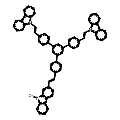 CCn1c2ccccc2c2ccc(/C=C/c3ccc(-c4cc(-c5ccc(/C=C/n6c7ccccc7c7ccccc76)cc5)cc(-c5ccc(/C=C/n6c7ccccc7c7ccccc76)cc5)c4)cc3)cc21